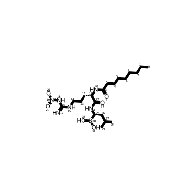 CCCCCC/C=C/C(=O)N[C@@H](CCCNC(=N)N[N+](=O)[O-])C(=O)N[C@@H](CC(C)C)B(O)O